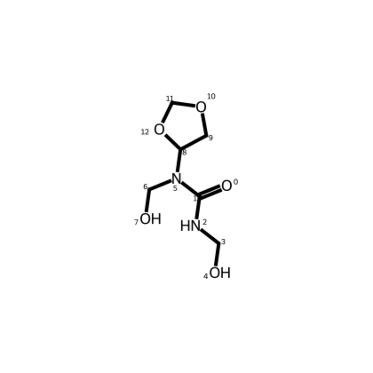 O=C(NCO)N(CO)C1COCO1